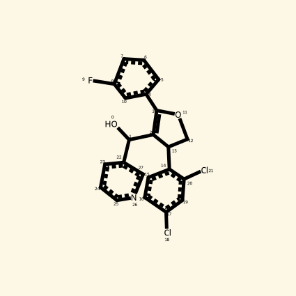 OC(C1=C(c2cccc(F)c2)OCC1c1ccc(Cl)cc1Cl)c1cccnc1